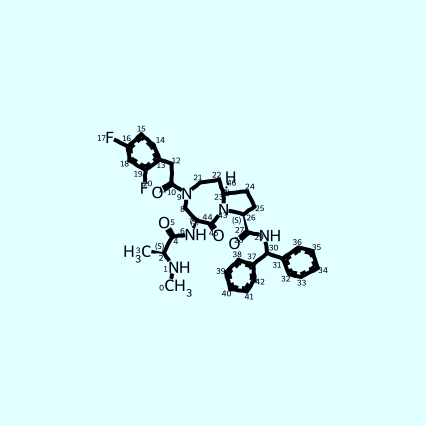 CN[C@@H](C)C(=O)N[C@H]1CN(C(=O)Cc2ccc(F)cc2F)CC[C@H]2CC[C@@H](C(=O)NC(c3ccccc3)c3ccccc3)N2C1=O